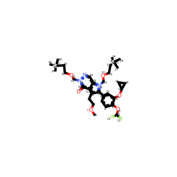 COCCc1c(-c2ccc(OC(F)F)c(OC3CC3)c2)n(COCC[Si](C)(C)C)c2cnn(COCC[Si](C)(C)C)c(=O)c12